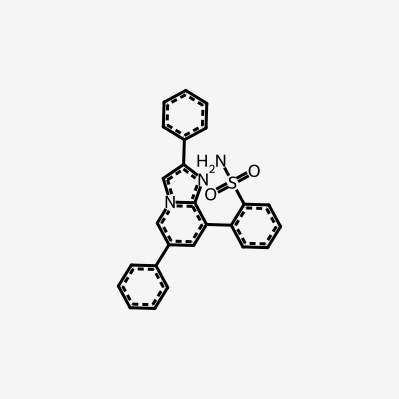 NS(=O)(=O)c1ccccc1-c1cc(-c2ccccc2)cn2cc(-c3ccccc3)nc12